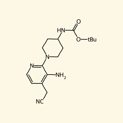 CC(C)(C)OC(=O)NC1CCN(c2nccc(CC#N)c2N)CC1